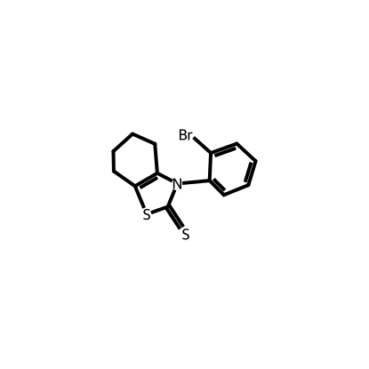 S=c1sc2c(n1-c1ccccc1Br)CCCC2